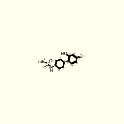 CCCCS(=O)(=O)N[C@H]1CC[C@@H](c2ccc(O)cc2O)CC1